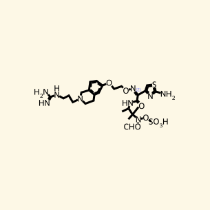 CC(NC(=O)/C(=N\OCCOc1ccc2c(c1)CCN(CCCNC(=N)N)C2)c1csc(N)n1)C(C)(C)N(C=O)OS(=O)(=O)O